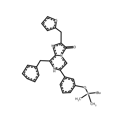 CC(C)(C)[Si](C)(C)Oc1cccc(-c2cn3c(=O)c(Cc4cccs4)nc-3c(Cc3ccccc3)[nH]2)c1